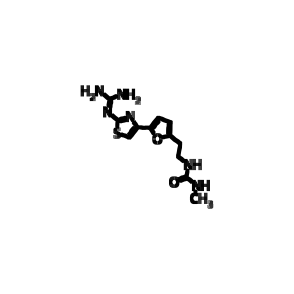 CNC(=O)NCCc1ccc(-c2csc(N=C(N)N)n2)o1